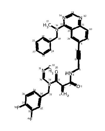 C=C(C(=O)NCC#Cc1ccc2ncnc(N(C)Cc3ccccc3)c2c1)C(=O)N(/C=N\C)Cc1ccc(F)c(F)c1